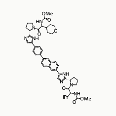 COC(=O)NC(C(=O)N1CCC[C@H]1c1ncc(-c2ccc3cc(-c4ccc(-c5cnc([C@@H]6CCCN6C(=O)C(NC(=O)OC)C6CCOCC6)[nH]5)cc4)ccc3c2)[nH]1)C(C)C